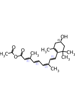 CC(=O)OC(=O)/C=C(C)/C=C/C=C(C)\C=C\C1=C(C)C[C@@H](O)CC1(C)C